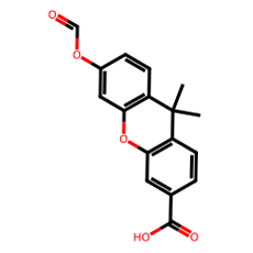 CC1(C)c2ccc(OC=O)cc2Oc2cc(C(=O)O)ccc21